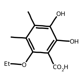 CCOc1c(C)c(C)c(O)c(O)c1C(=O)O